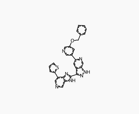 c1ccc(COc2cncc(-c3cc4c(-c5nc6c(-c7cccs7)cncc6[nH]5)n[nH]c4cn3)c2)cc1